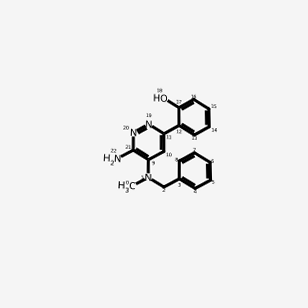 CN(Cc1ccccc1)c1cc(-c2ccccc2O)nnc1N